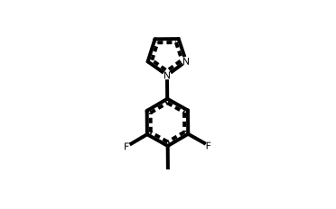 Cc1c(F)cc(-n2cccn2)cc1F